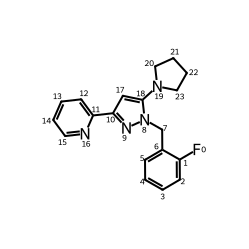 Fc1ccccc1Cn1nc(-c2ccccn2)cc1N1CCCC1